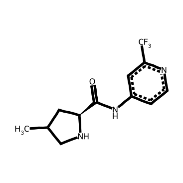 CC1CN[C@H](C(=O)Nc2ccnc(C(F)(F)F)c2)C1